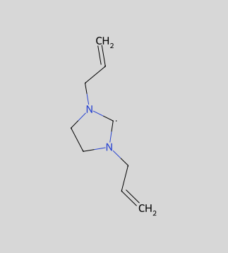 C=CCN1[CH]N(CC=C)CC1